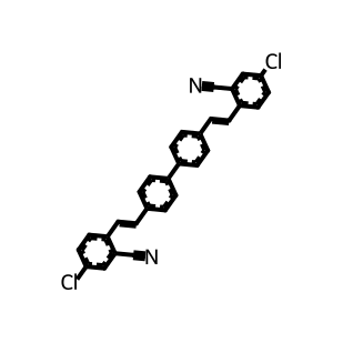 N#Cc1cc(Cl)ccc1C=Cc1ccc(-c2ccc(C=Cc3ccc(Cl)cc3C#N)cc2)cc1